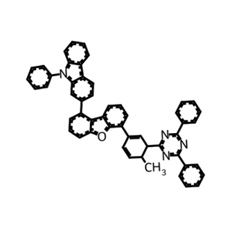 CC1C=CC(c2cccc3c2oc2cccc(-c4ccc5c6ccccc6n(-c6ccccc6)c5c4)c23)=CC1c1nc(-c2ccccc2)nc(-c2ccccc2)n1